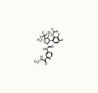 CNC(=O)c1cc(NC(=O)[C@@H]2O[C@@](C)(C(F)(F)F)[C@@H](C)[C@H]2c2ccc(F)c(F)c2OC(F)F)ccn1